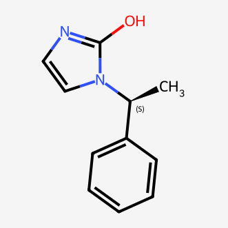 C[C@@H](c1ccccc1)n1ccnc1O